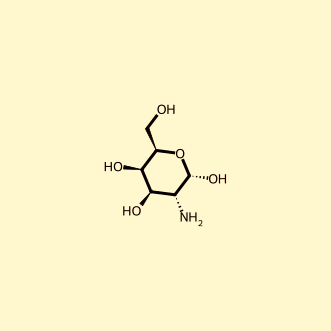 N[C@@H]1[C@@H](O)[C@@H](O)[C@@H](CO)O[C@@H]1O